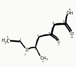 CCOC(C)CC(=O)CC(=O)O